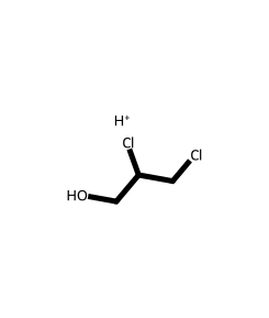 OCC(Cl)CCl.[H+]